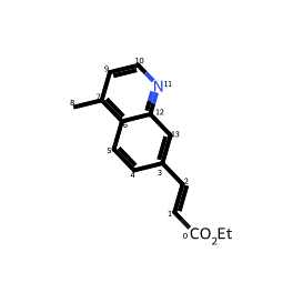 CCOC(=O)/C=C/c1ccc2c(C)ccnc2c1